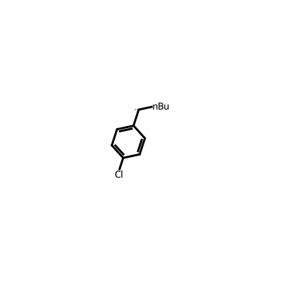 [CH2]CCC[CH]c1ccc(Cl)cc1